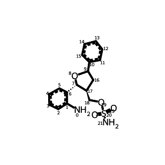 Nc1ccccc1[C@@H]1OC(c2ccccc2)C[C@H]1COS(N)(=O)=O